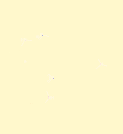 CC(=O)Nc1ncc(/C=C2\S/C(=N\c3ccc(OCCN4CCOCC4)cc3C)NC2=O)s1